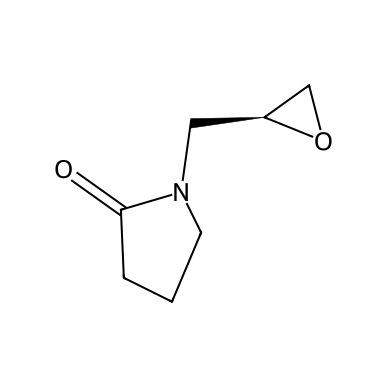 O=C1CCCN1C[C@H]1CO1